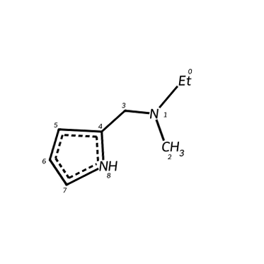 CCN(C)Cc1ccc[nH]1